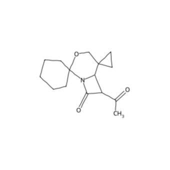 CC(=O)C1C(=O)N2C1C1(CC1)COC21CCCCC1